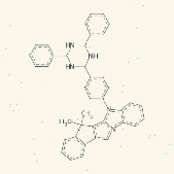 CC1(C)c2ccccc2-c2cn3c4ccccc4n(-c4ccc(C5NC(c6ccccc6)NC(c6ccccc6)N5)cc4)c3c21